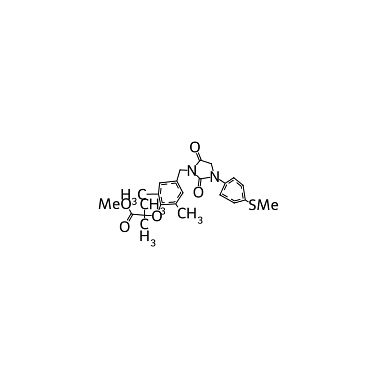 COC(=O)C(C)(C)Oc1c(C)cc(CN2C(=O)CN(c3ccc(SC)cc3)C2=O)cc1C